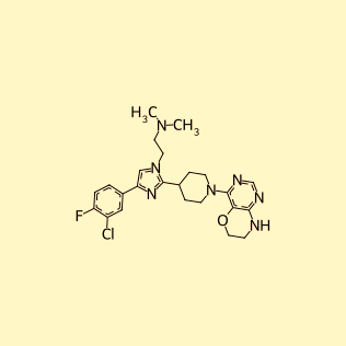 CN(C)CCn1cc(-c2ccc(F)c(Cl)c2)nc1C1CCN(c2ncnc3c2OCCN3)CC1